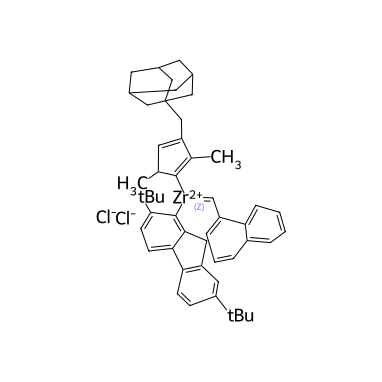 CC1=[C](/[Zr+2](=[CH]/c2cccc3ccccc23)[c]2c(C(C)(C)C)ccc3c2Cc2cc(C(C)(C)C)ccc2-3)C(C)C=C1CC12CC3CC(CC(C3)C1)C2.[Cl-].[Cl-]